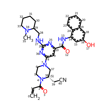 C=CC(=O)N1CCN(c2cc(C(=O)Nc3cc(O)cc4ccccc34)nc(NCC3CCCCN3C)n2)C[C@@H]1CC#N